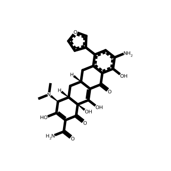 CN(C)[C@@H]1C(O)=C(C(N)=O)C(=O)[C@@]2(O)C(O)=C3C(=O)c4c(O)c(N)cc(-c5ccoc5)c4C[C@H]3C[C@@H]12